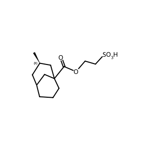 C[C@@H]1CC2CCCC(C(=O)OCCS(=O)(=O)O)(C2)C1